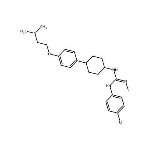 CN(C)CCOc1ccc(C2CCC(N/C(=N/I)Nc3ccc(Cl)cc3)CC2)cc1